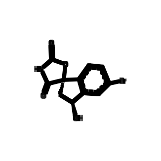 O=C1NC(=O)[C@@]2(C[C@H](O)c3cc(Br)ccc32)O1